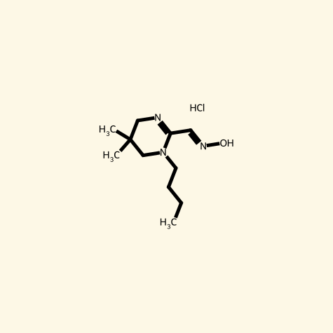 CCCCN1CC(C)(C)CN=C1/C=N/O.Cl